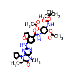 CC[C@@H]1C(=O)N(C)c2cnc(Nc3ccc(C(=O)N[C@@H]4C[C@@H](OC(C)=O)[C@H](NC(=O)OC(C)(C)C)C[C@H]4OC(C)=O)c4c3OCC4)nc2N1C1CCCC1